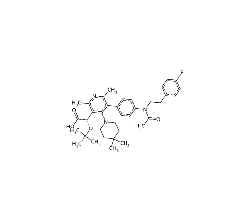 CC(=O)N(CCc1ccc(F)cc1)c1ccc(-c2c(C)nc(C)c([C@H](OC(C)(C)C)C(=O)O)c2N2CCC(C)(C)CC2)cc1